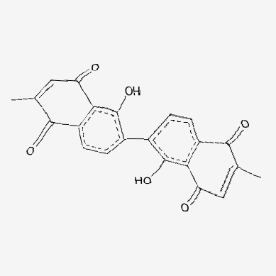 CC1=CC(=O)c2c(ccc(-c3ccc4c(c3O)C(=O)C=C(C)C4=O)c2O)C1=O